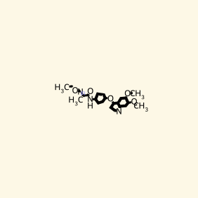 CCO/N=C(\C)C(=O)Nc1ccc(Oc2ccnc3cc(OC)c(OC)cc23)cc1